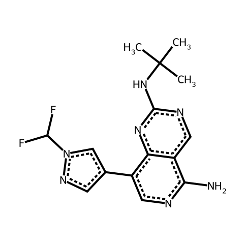 CC(C)(C)Nc1ncc2c(N)ncc(-c3cnn(C(F)F)c3)c2n1